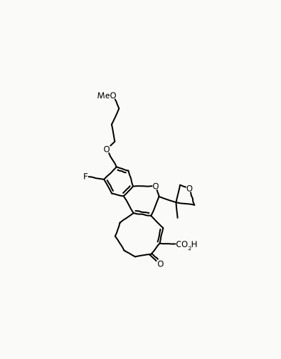 COCCCOc1cc2c(cc1F)C1=C(/C=C(/C(=O)O)C(=O)CCCC1)C(C1(C)COC1)O2